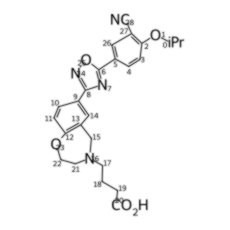 CC(C)Oc1ccc(-c2nc(-c3ccc4c(c3)CN(CCCC(=O)O)CCO4)no2)cc1C#N